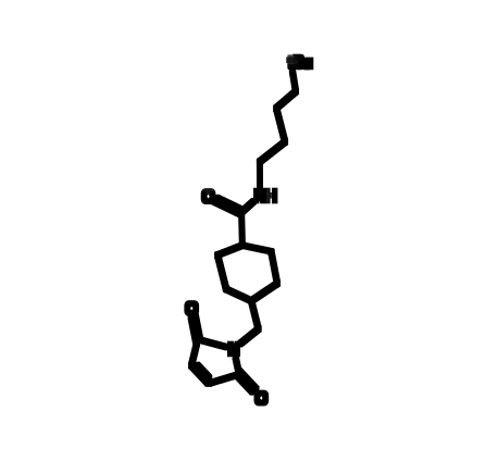 CC(C)(C)CCCCNC(=O)C1CCC(CN2C(=O)C=CC2=O)CC1